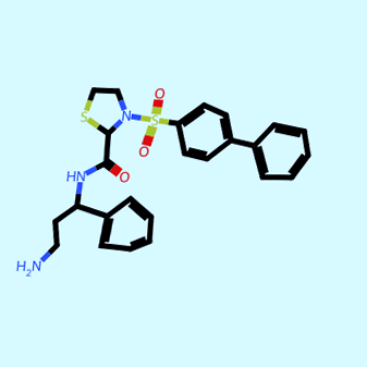 NCCC(NC(=O)C1SCCN1S(=O)(=O)c1ccc(-c2ccccc2)cc1)c1ccccc1